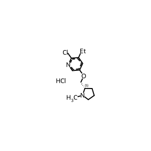 CCc1cc(OC[C@@H]2CCCN2C)cnc1Cl.Cl